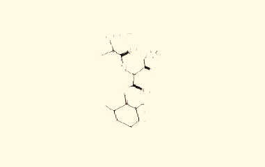 COC(=O)C(NC(=O)C(C)C(=O)O)C(=O)OC1C(C)CCCC1C